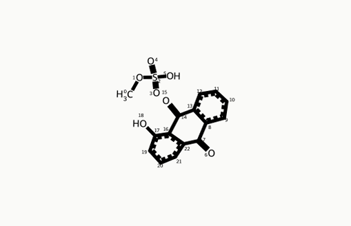 COS(=O)(=O)O.O=C1c2ccccc2C(=O)c2c(O)cccc21